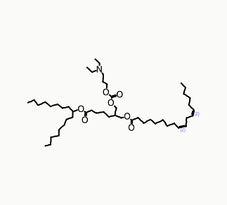 CCCCC/C=C\C/C=C\CCCCCCCC(=O)OCC(CCCCC(=O)OC(CCCCCCCC)CCCCCCCC)COC(=O)OCCCN(CC)CC